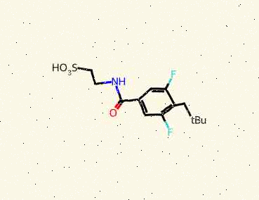 CC(C)(C)Cc1c(F)cc(C(=O)NCCS(=O)(=O)O)cc1F